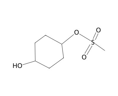 CS(=O)(=O)OC1CCC(O)CC1